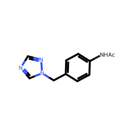 CC(=O)Nc1ccc(Cn2cncn2)cc1